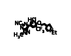 CCN1CCC(CCOc2ncc(-c3nc(C#N)nc4c3ncn4C)cc2C(F)(F)F)CC1.Cl